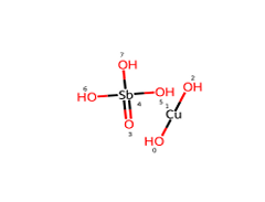 [OH][Cu][OH].[O]=[Sb]([OH])([OH])[OH]